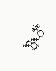 CS(=O)(=O)N1CCCC(CNc2ncnc3[nH]ccc23)C1